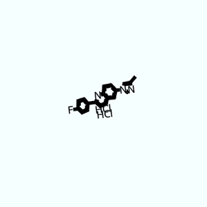 Cc1cn(-c2ccc3nc(-c4ccc(F)cc4)ccc3c2)cn1.Cl.Cl